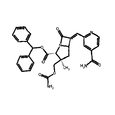 C[C@@]1(COC(N)=O)CC2/C(=C\c3cc(C(N)=O)ccn3)C(=O)N2[C@H]1C(=O)OC(c1ccccc1)c1ccccc1